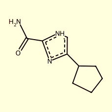 NC(=O)c1nc(C2CCCC2)c[nH]1